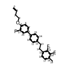 C=CCCOc1ccc(-c2ccc(CCc3ccc(C)c(F)c3F)cc2)cc1F